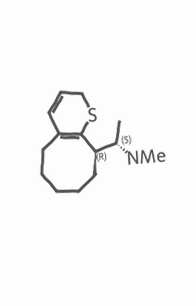 CN[C@@H](C)[C@H]1CCCCCC2=C1SCC=C2